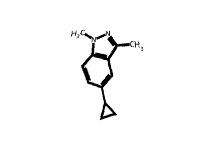 Cc1nn(C)c2ccc(C3CC3)cc12